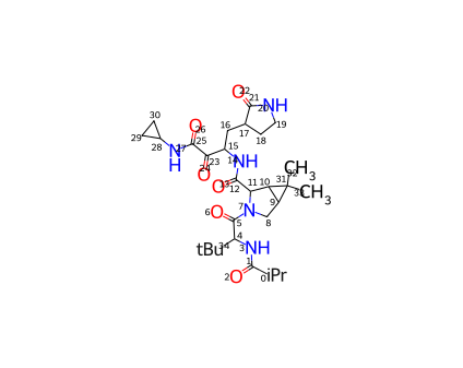 CC(C)C(=O)NC(C(=O)N1CC2C(C1C(=O)NC(CC1CCNC1=O)C(=O)C(=O)NC1CC1)C2(C)C)C(C)(C)C